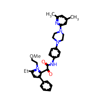 CCc1cc(-c2ccccc2)c(C(=O)C(=O)Nc2ccc(N3CCN(c4cc(C)cc(C)n4)CC3)cc2)n1CCOC